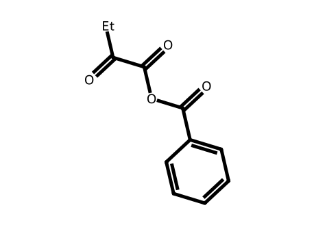 CCC(=O)C(=O)OC(=O)c1ccccc1